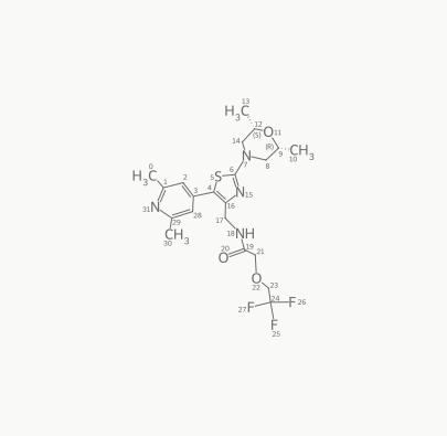 Cc1cc(-c2sc(N3C[C@@H](C)O[C@@H](C)C3)nc2CNC(=O)COCC(F)(F)F)cc(C)n1